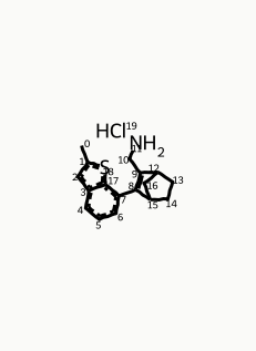 Cc1cc2cccc(C3=C(CN)C4CCC3C4)c2s1.Cl